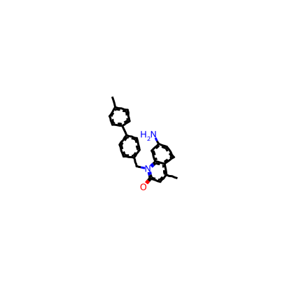 Cc1ccc(-c2ccc(Cn3c(=O)cc(C)c4ccc(N)cc43)cc2)cc1